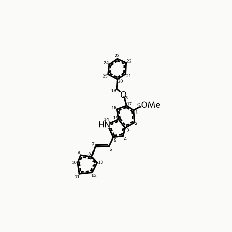 COc1cc2cc(C=Cc3ccccc3)[nH]c2cc1OCc1ccccc1